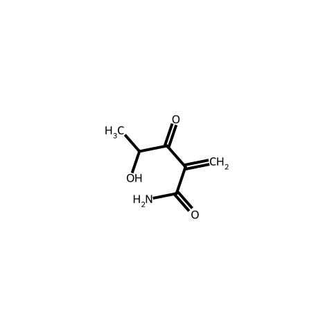 C=C(C(N)=O)C(=O)C(C)O